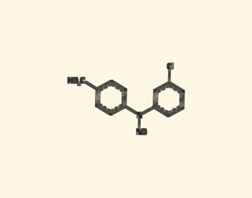 O=NN(c1ccc(C(=O)O)cc1)c1cccc(Cl)c1